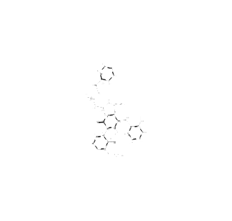 COc1cccc(-c2c(C)c(Cc3c(F)cccc3F)c3n(c2=O)C(CN(C)CCc2ccccn2)C[S+]3[O-])c1F